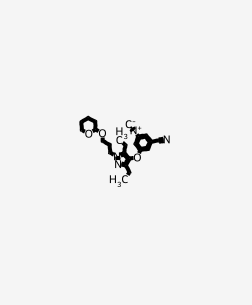 [C-]#[N+]c1cc(C#N)cc(Oc2c(CC)nn(CCCOC3CCCCO3)c2CC)c1